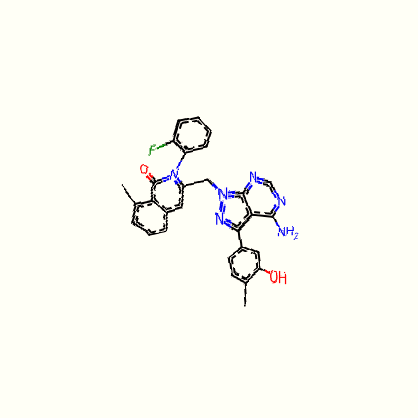 Cc1ccc(-c2nn(Cc3cc4cccc(C)c4c(=O)n3-c3ccccc3F)c3ncnc(N)c23)cc1O